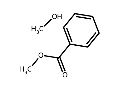 CO.COC(=O)c1ccccc1